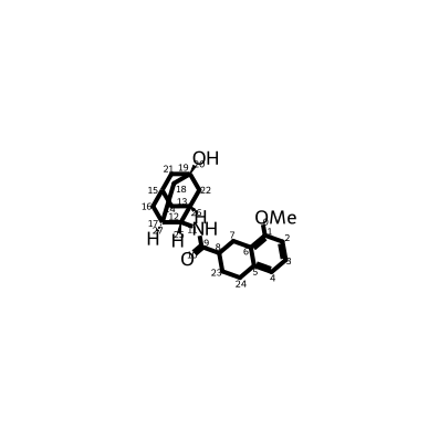 COc1cccc2c1CC(C(=O)N[C@H]1[C@@H]3CC4C[C@H]1C[C@](O)(C4)C3)CC2